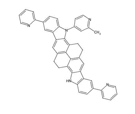 Cc1cc(-n2c3ccc(-c4ccccn4)cc3c3cc4c5c(c32)CCc2cc3c([nH]c6ccc(-c7ccccn7)cc63)c(c2-5)CC4)ccn1